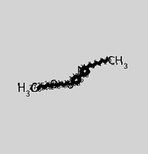 CCCCCCCCc1ccc(-c2ccc(OCCCCOCCCCCC)cc2)nc1